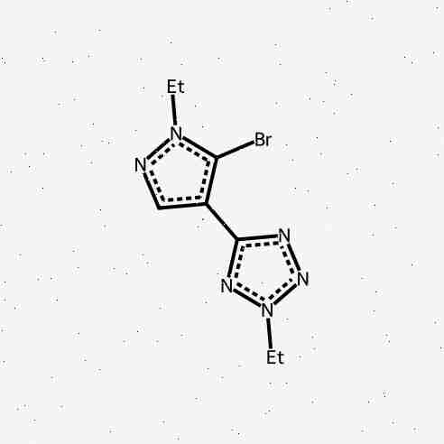 CCn1nnc(-c2cnn(CC)c2Br)n1